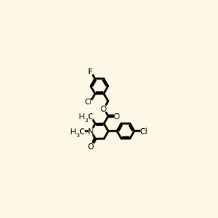 CC1=C(C(=O)OCc2ccc(F)cc2Cl)C(c2ccc(Cl)cc2)CC(=O)N1C